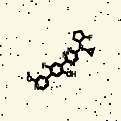 COc1cc(-c2cc(O)c(-c3ncc(N(C4CC4)C4CCCC4F)nn3)cc2F)ccn1